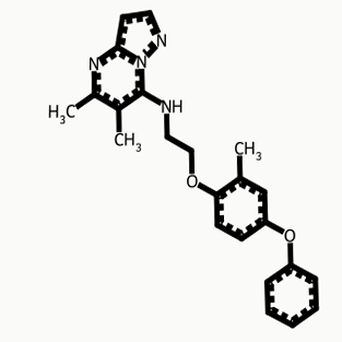 Cc1cc(Oc2ccccc2)ccc1OCCNc1c(C)c(C)nc2ccnn12